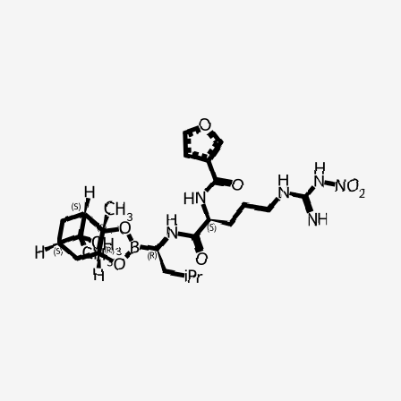 CC(C)C[C@H](NC(=O)[C@H](CCCNC(=N)N[N+](=O)[O-])NC(=O)c1ccoc1)B1O[C@@H]2C[C@@H]3C[C@@H](C3(C)C)[C@]2(C)O1